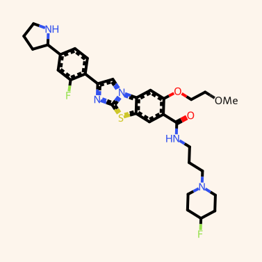 COCCOc1cc2c(cc1C(=O)NCCCN1CCC(F)CC1)sc1nc(-c3ccc(C4CCCN4)cc3F)cn12